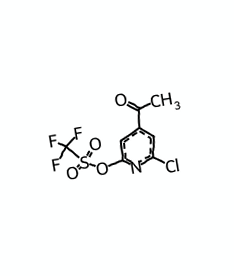 CC(=O)c1cc(Cl)nc(OS(=O)(=O)C(F)(F)F)c1